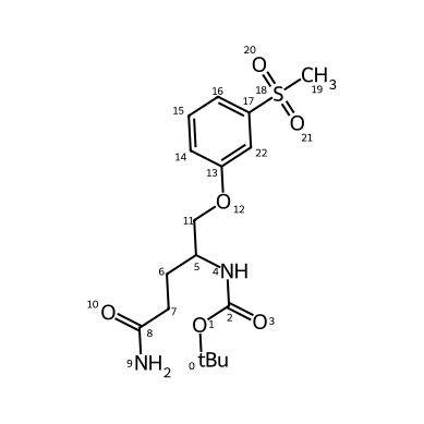 CC(C)(C)OC(=O)NC(CCC(N)=O)COc1cccc(S(C)(=O)=O)c1